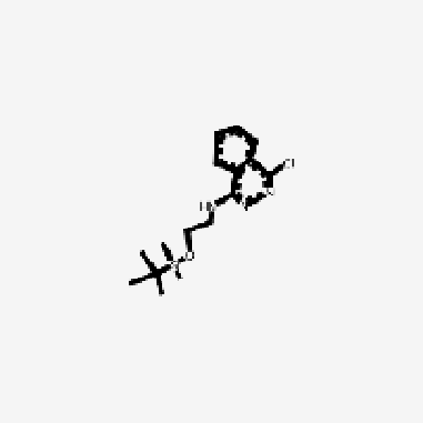 CC(C)(C)[Si](C)(C)OCCNc1nnc(Cl)c2ccccc12